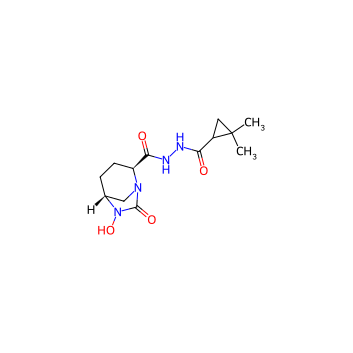 CC1(C)CC1C(=O)NNC(=O)[C@@H]1CC[C@@H]2CN1C(=O)N2O